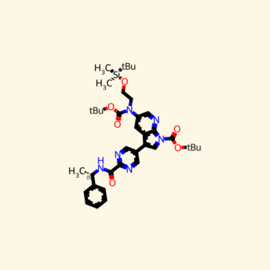 C[C@H](NC(=O)c1ncc(-c2cn(C(=O)OC(C)(C)C)c3ncc(N(CCO[Si](C)(C)C(C)(C)C)C(=O)OC(C)(C)C)cc23)cn1)c1ccccc1